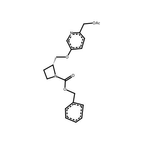 CC(=O)OCc1ccc(OC[C@H]2CCN2C(=O)OCc2ccccc2)cn1